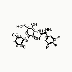 N/C(=C\NC1C(O)C(CO)OC(Sc2cc(Cl)ccc2Cl)C1O)c1cc(F)c(F)c(F)c1